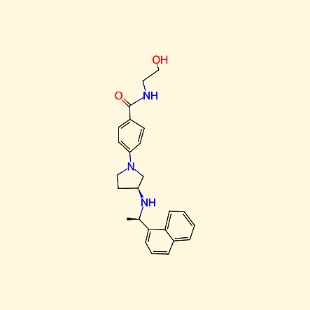 C[C@@H](N[C@H]1CCN(c2ccc(C(=O)NCCO)cc2)C1)c1cccc2ccccc12